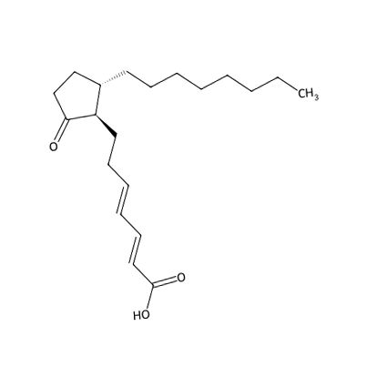 CCCCCCCC[C@H]1CCC(=O)[C@@H]1CCC=CC=CC(=O)O